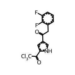 O=C(Cc1cccc(F)c1F)c1c[nH]c(C(=O)C(Cl)(Cl)Cl)c1